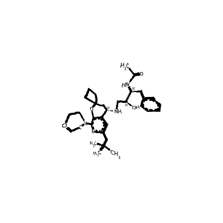 CC(=O)N[C@@H](Cc1ccccc1)[C@@H](O)CN[C@H]1CC2(CCC2)Oc2c1cc(CC(C)(C)C)nc2N1CCOCC1